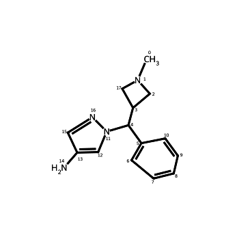 CN1CC(C(c2ccccc2)n2cc(N)cn2)C1